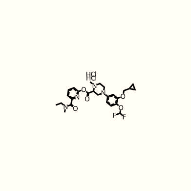 CCN(C)C(=O)c1cccc(OC(=O)C2CN(c3ccc(OC(F)F)c(OCC4CC4)c3)CCN2C)n1.Cl.Cl